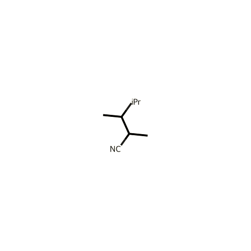 CC(C)C(C)C(C)C#N